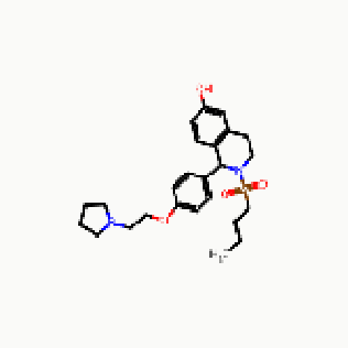 CCCCS(=O)(=O)N1CCc2cc(O)ccc2C1c1ccc(OCCN2CCCC2)cc1